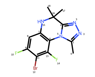 Cc1nnc2n1-c1c(cc(F)c(Br)c1F)NC2(C)C